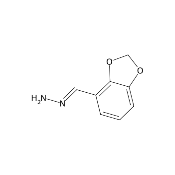 NN=Cc1cccc2c1OCO2